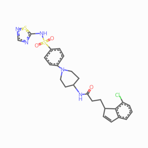 O=C(CCC1C=Cc2cccc(Cl)c21)NC1CCN(c2ccc(S(=O)(=O)Nc3ncns3)cc2)CC1